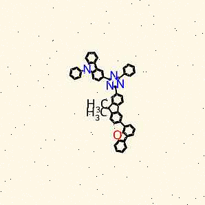 CC1(C)c2ccc(-c3cccc4c3oc3ccccc34)cc2-c2ccc(-c3nc(-c4ccccc4)nc(-c4ccc5c(c4)c4ccccc4n5-c4ccccc4)n3)cc21